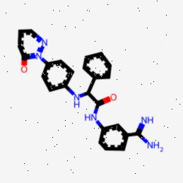 N=C(N)c1cccc(NC(=O)C(Nc2ccc(-n3ncccc3=O)cc2)c2ccccc2)c1